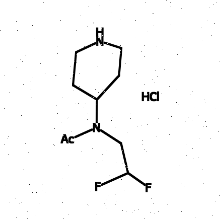 CC(=O)N(CC(F)F)C1CCNCC1.Cl